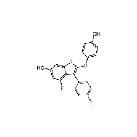 Oc1ccc(Oc2sc3cc(O)cc(F)c3c2-c2ccc(F)cc2)cc1